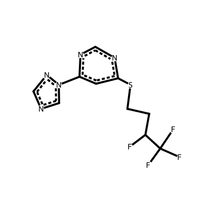 FC(CCSc1cc(-n2cncn2)ncn1)C(F)(F)F